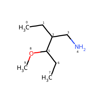 CCC(CN)C(CC)OC